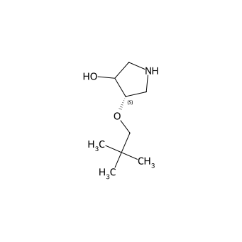 CC(C)(C)CO[C@H]1CNCC1O